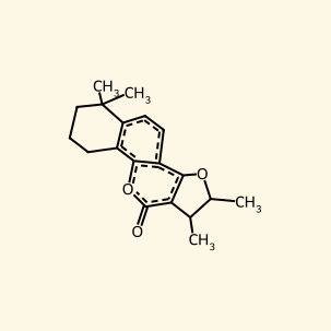 CC1Oc2c(c(=O)oc3c4c(ccc23)C(C)(C)CCC4)C1C